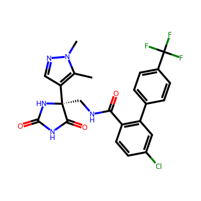 Cc1c([C@]2(CNC(=O)c3ccc(Cl)cc3-c3ccc(C(F)(F)F)cc3)NC(=O)NC2=O)cnn1C